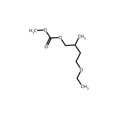 CCOCCC(C)COC(=O)OC